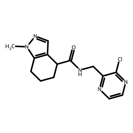 Cn1ncc2c1CCCC2C(=O)NCc1nccnc1Cl